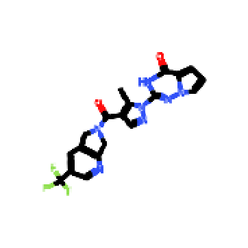 Cc1c(C(=O)N2Cc3cc(C(F)(F)F)cnc3C2)cnn1-c1nn2cccc2c(=O)[nH]1